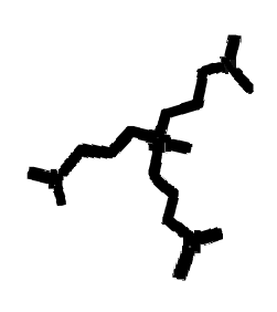 CN(C)CC[CH2][Sn]([CH3])([CH2]CCN(C)C)[CH2]CCN(C)C